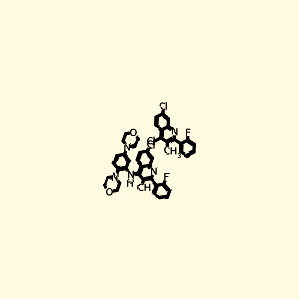 Cc1c(-c2ccccc2F)nc2cc(Cl)ccc2c1Cl.Cc1c(-c2ccccc2F)nc2cc(Cl)ccc2c1Nc1cc(N2CCOCC2)ccc1N1CCOCC1